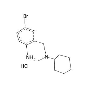 CN(Cc1cc(Br)ccc1N)C1CCCCC1.Cl